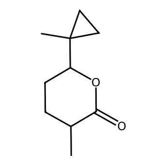 CC1CCC(C2(C)CC2)OC1=O